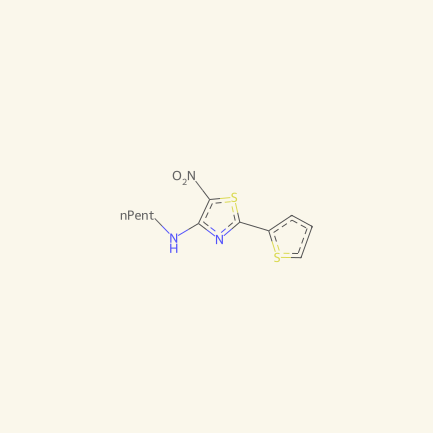 CCCCCNc1nc(-c2cccs2)sc1[N+](=O)[O-]